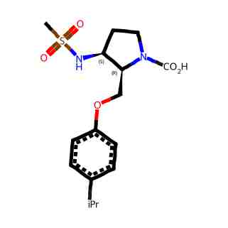 CC(C)c1ccc(OC[C@H]2[C@@H](NS(C)(=O)=O)CCN2C(=O)O)cc1